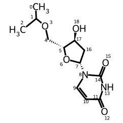 CC(C)OC[C@H]1O[C@@H](n2ccc(=O)[nH]c2=O)C[C@@H]1O